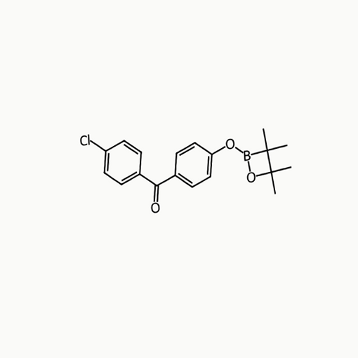 CC1(C)OB(Oc2ccc(C(=O)c3ccc(Cl)cc3)cc2)C1(C)C